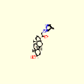 Cc1cnn(CC(=O)[C@H]2CC[C@H]3C4CC[C@@H]5C[C@](C)(O)CC[C@@H]5[C@H]4CC[C@]23C)c1